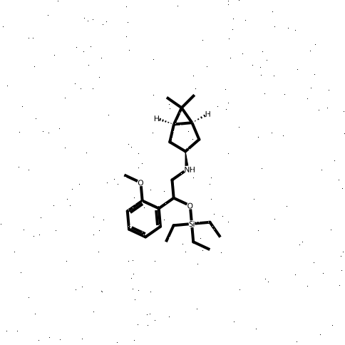 CC[Si](CC)(CC)OC(CN[C@H]1C[C@@H]2[C@H](C1)C2(C)C)c1ccccc1OC